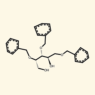 OC[C@H](OCc1ccccc1)[C@H](OCc1ccccc1)[C@H](O)COCc1ccccc1